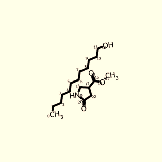 CCCCCCCCCCCCO.COC(=O)C1CNC(=O)C1